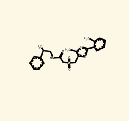 Cc1ccccc1-c1nc(CS(=O)(=O)CC(=O)NCC(C)c2ccccc2)c(C)o1